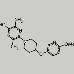 COc1ccc(OC2CCN(c3nc(N)c(C#N)cc3C)CC2)cn1